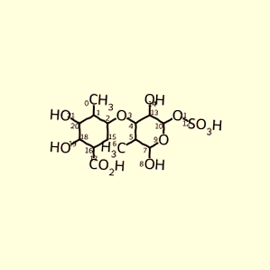 CC1C(OC2C(C)C(O)OC(OS(=O)(=O)O)C2O)CC(C(=O)O)C(O)C1O